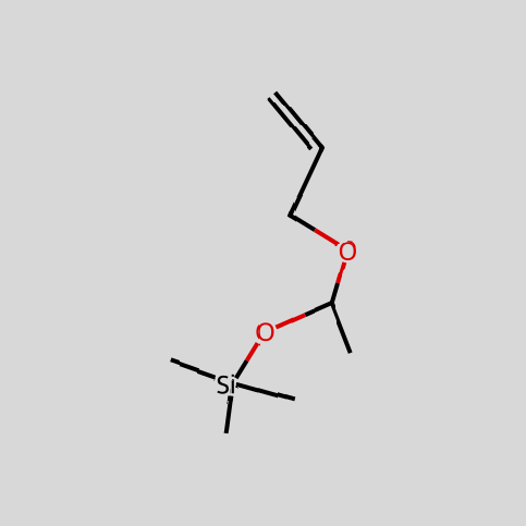 C=CCOC(C)O[Si](C)(C)C